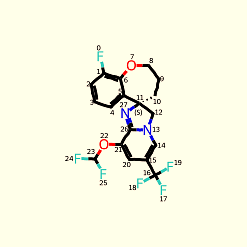 Fc1cccc2c1OCCC[C@@]21CN2C=C(C(F)(F)F)C=C(OC(F)F)C2=N1